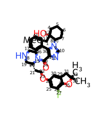 COC[C@]1(O)CCCC[C@H]1n1cnc(C(=O)N2CCNC[C@H]2CCOc2cc(F)c3c(c2)CC(C)(C)O3)c1-c1ccccc1